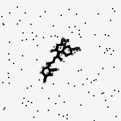 CCC(/C=C(F)\C(=C(\F)CCNC1CCC(=O)NC1=O)N1CCN(C)CC1)C(=O)O